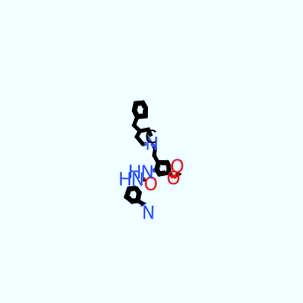 N#Cc1cccc(NC(=O)Nc2cc3c(cc2CCN2CCC(Cc4ccccc4)CC2)OCO3)c1